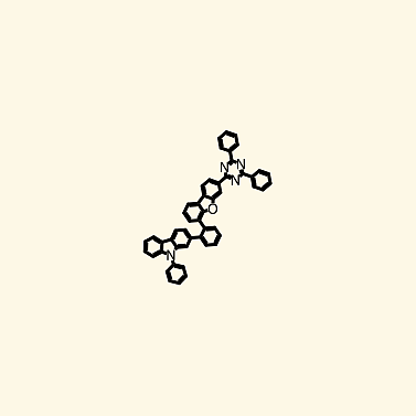 c1ccc(-c2nc(-c3ccccc3)nc(-c3ccc4c(c3)oc3c(-c5ccccc5-c5ccc6c7ccccc7n(-c7ccccc7)c6c5)cccc34)n2)cc1